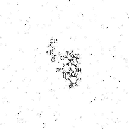 CN(CCO)C(=O)COc1ccc(Cl)cc1[C@H]1CC(=O)N[C@@H](c2cc(F)ccc2F)[C@]12C(=O)Nc1cc(Cl)ccc12